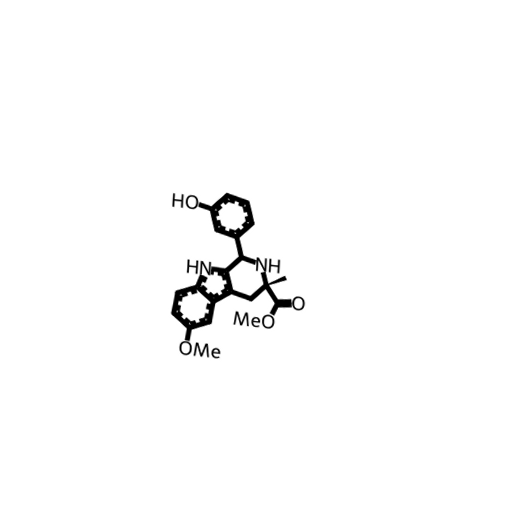 COC(=O)[C@]1(C)Cc2c([nH]c3ccc(OC)cc23)C(c2cccc(O)c2)N1